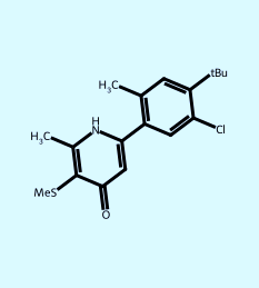 CSc1c(C)[nH]c(-c2cc(Cl)c(C(C)(C)C)cc2C)cc1=O